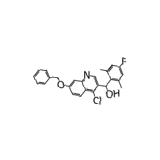 Cc1cc(F)cc(C)c1C(O)c1cnc2cc(OCc3ccccc3)ccc2c1Cl